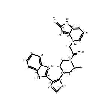 CC1CN(c2scnc2-c2nc3ccccc3[nH]2)CCN1C(=O)Cn1cccc2oc(=O)nc1-2